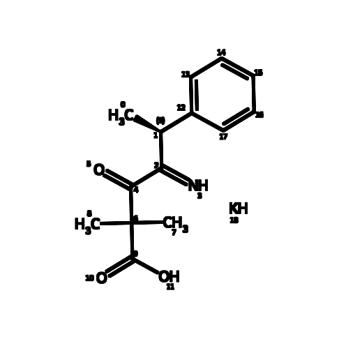 C[C@H](C(=N)C(=O)C(C)(C)C(=O)O)c1ccccc1.[KH]